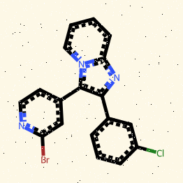 Clc1cccc(-c2nc3ccccn3c2-c2ccnc(Br)c2)c1